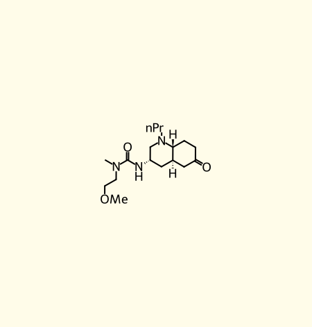 CCCN1C[C@@H](NC(=O)N(C)CCOC)C[C@@H]2CC(=O)CC[C@H]21